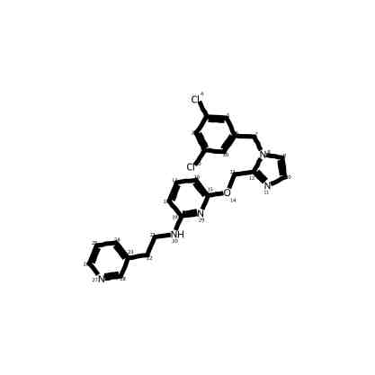 Clc1cc(Cl)cc(Cn2ccnc2COc2cccc(NCCc3cccnc3)n2)c1